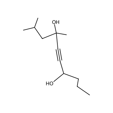 CCCC(O)C#CC(C)(O)CC(C)C